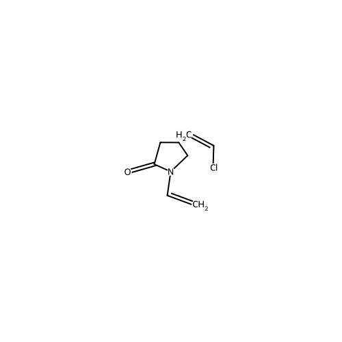 C=CCl.C=CN1CCCC1=O